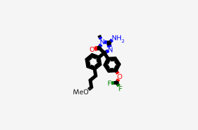 COCCCc1cccc(C2(c3ccc(OC(F)F)cc3)N=C(N)N(C)C2=O)c1